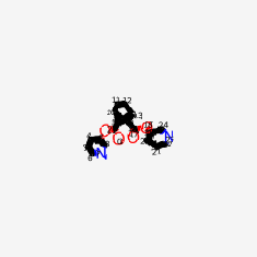 O=C(Oc1cccnc1)C1C2C=CC(C2)C1C(=O)Oc1cccnc1